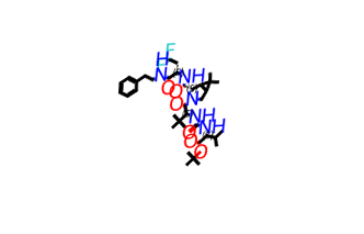 CC(C)[C@H](NC(=O)N[C@H](C(=O)N1CC2C([C@H]1C(=O)N[C@@H](CC(F)F)C(=O)NCCc1ccccc1)C2(C)C)C(C)(C)C)C(=O)OC(C)(C)C